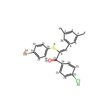 Cc1cc(C)cc(C=C(Sc2ccc(Br)cc2)C(=O)c2ccc(Cl)cc2)c1